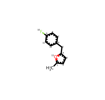 Cc1ccc(Cc2ccc(F)cc2)o1